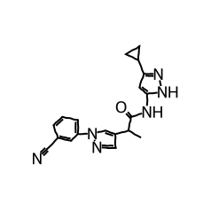 CC(C(=O)Nc1cc(C2CC2)n[nH]1)c1cnn(-c2cccc(C#N)c2)c1